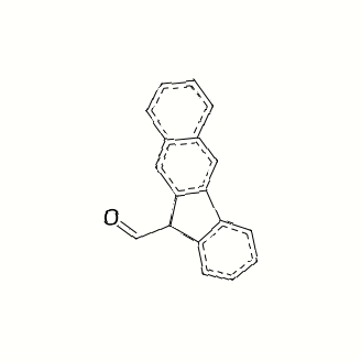 O=CC1c2ccccc2-c2cc3ccccc3cc21